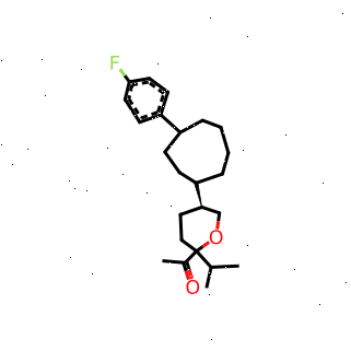 CC(=O)C1(C(C)C)CC[C@@H](C2CCCCC(c3ccc(F)cc3)CC2)CO1